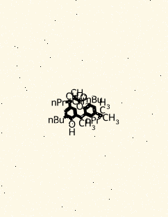 C=CC(=O)Oc1c(CCCC)cc(C(C)(C)CCC)cc1C(C)c1cc(C(C)(C)CCC)cc(CCCC)c1O